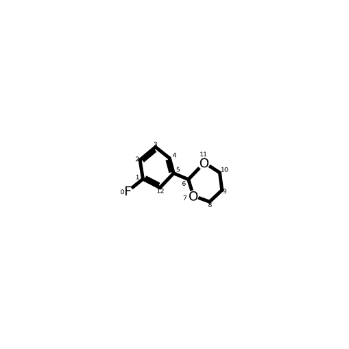 Fc1cccc(C2OCCCO2)c1